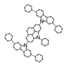 c1ccc(-c2ccc3c4ccc(-c5ccccc5)cc4n(-c4cc5ccc6cc(-n7c8cc(-c9ccccc9)ccc8c8ccc(-c9ccccc9)cc87)cc7c6c5c(c4)n7-c4ccccc4)c3c2)cc1